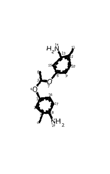 Cc1cc(OC(C)Oc2ccc(C)c(N)c2)ccc1N